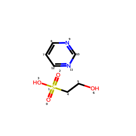 O=S(=O)(O)CCO.c1cncnc1